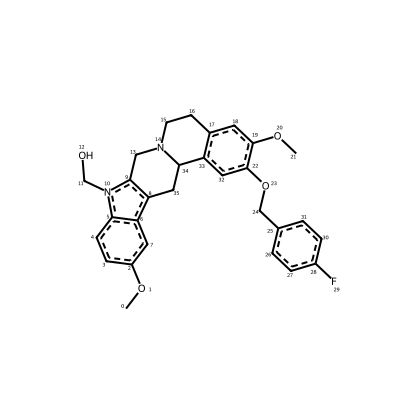 COc1ccc2c(c1)c1c(n2CO)CN2CCc3cc(OC)c(OCc4ccc(F)cc4)cc3C2C1